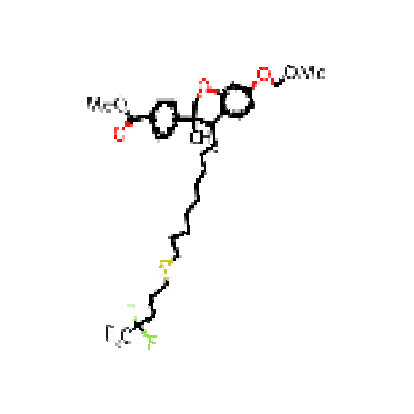 COCOc1ccc2c(c1)OCC(C)(c1ccc(C(=O)OC)cc1)C2CCCCCCCCCSCCCC(F)(F)C(F)(F)F